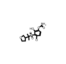 CC(C)(C1CCOC1)S(=O)(=O)c1c(Cl)ccc(OC(N)=O)c1O